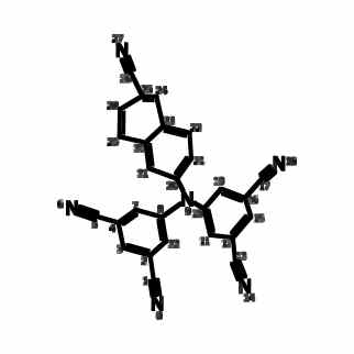 N#Cc1cc(C#N)cc(N(c2cc(C#N)cc(C#N)c2)c2ccc3cc(C#N)ccc3c2)c1